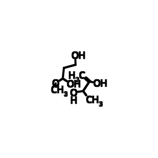 C=C(O)C(C)O.COC(O)CCO